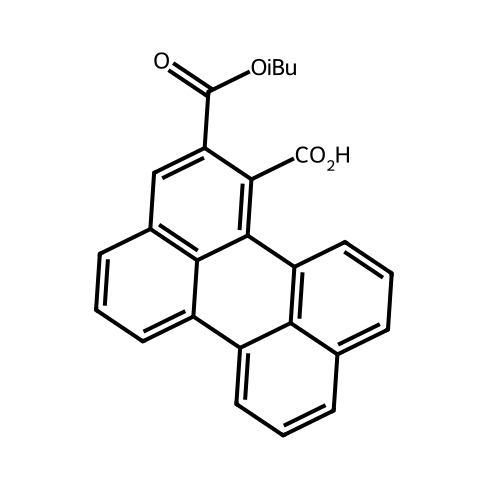 CC(C)COC(=O)c1cc2cccc3c4cccc5cccc(c(c1C(=O)O)c23)c54